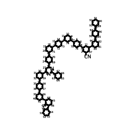 N#Cc1cc(-c2ccc(-c3cccc(-c4ccc(-c5cccc(-c6ccc(-c7cc(-c8cccc(-c9ccc(-c%10cccc(-c%11cccc%12c%11sc%11ccccc%11%12)c%10)cc9)c8)nc(-c8ccccc8)n7)cc6)c5)cc4)c3)cc2)cc(-c2cccc(-c3ccc(-c4ccccc4)cc3)c2)c1